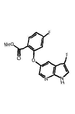 COC(=O)c1ccc(F)cc1Oc1cnc2[nH]cc(F)c2c1